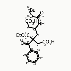 CCOC(=O)C(CC(=O)O)(CC(CC(=O)O)NC(=O)OC(C)(C)C)C(=O)c1ccccc1